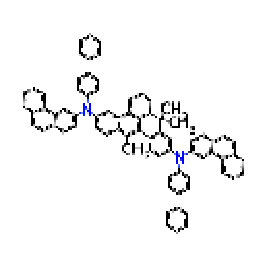 Cc1c2c3c(cccc3c3cc(N(c4ccc(-c5ccccc5)cc4)c4ccc5ccc6ccccc6c5c4)ccc13)C(C)(C)c1cc(N(c3ccc(-c4ccccc4)cc3)c3ccc4ccc5ccccc5c4c3)ccc1-2